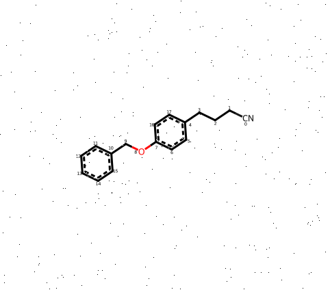 N#CCCCc1ccc(OCc2ccccc2)cc1